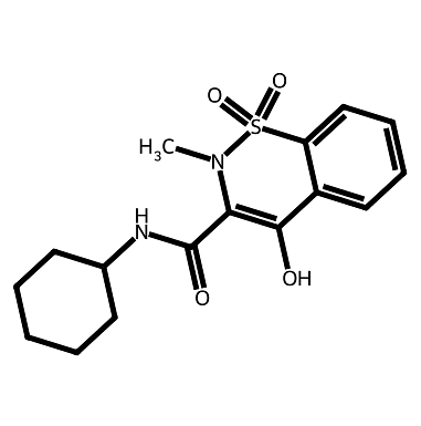 CN1C(C(=O)NC2CCCCC2)=C(O)c2ccccc2S1(=O)=O